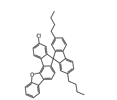 CCCCc1ccc2c(c1)C1(c3cc(CCCC)ccc3-2)c2cc(Cl)ccc2-c2c1ccc1c2oc2ccccc21